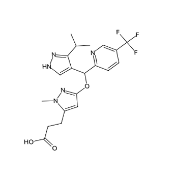 CC(C)c1n[nH]cc1C(Oc1cc(CCC(=O)O)n(C)n1)c1ccc(C(F)(F)F)cn1